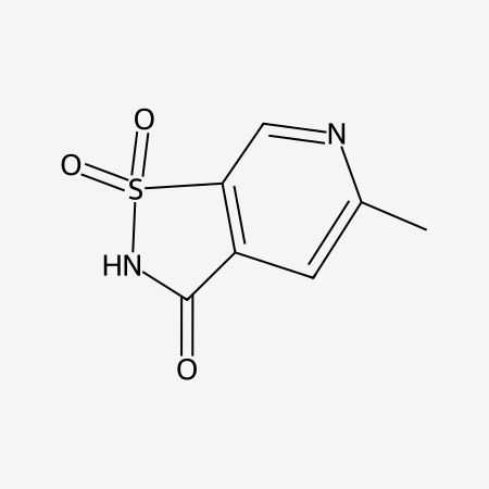 Cc1cc2c(cn1)S(=O)(=O)NC2=O